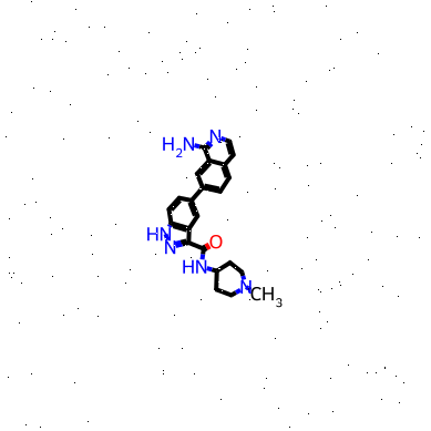 CN1CCC(NC(=O)c2n[nH]c3ccc(-c4ccc5ccnc(N)c5c4)cc23)CC1